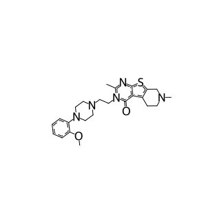 COc1ccccc1N1CCN(CCn2c(C)nc3sc4c(c3c2=O)CCN(C)C4)CC1